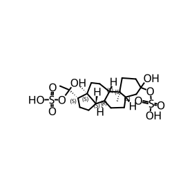 CC(O)(OS(=O)(=O)O)[C@H]1CC[C@H]2[C@@H]3CC[C@H]4CC(O)(OS(=O)(=O)O)CC[C@]4(C)[C@H]3CC[C@]12C